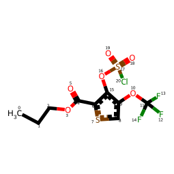 CCCOC(=O)c1scc(OC(F)(F)F)c1OS(=O)(=O)Cl